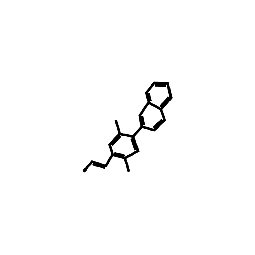 CC=Cc1cc(C)c(-c2ccc3ccccc3c2)cc1C